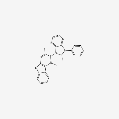 CC1=Cc2oc3ccccc3c2N(C)B1N1c2nccnc2N(c2ccccc2)[C@@H]1C